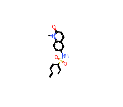 C=C/C=C\C(=C/C)S(=O)(=O)Nc1ccc2c(ccc(=O)n2C)c1